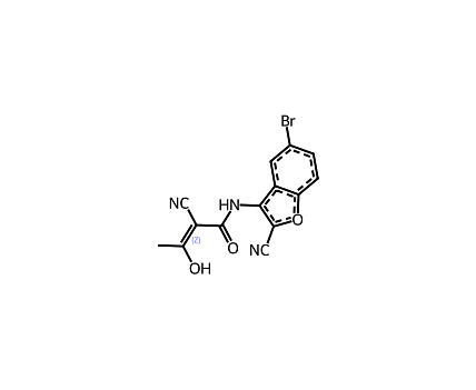 C/C(O)=C(\C#N)C(=O)Nc1c(C#N)oc2ccc(Br)cc12